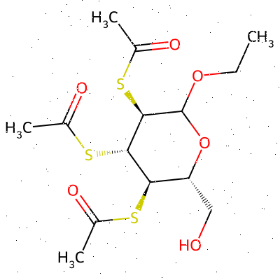 CCOC1O[C@H](CO)[C@@H](SC(C)=O)[C@H](SC(C)=O)[C@H]1SC(C)=O